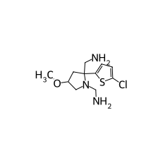 COC1CN(CN)C(CN)(c2ccc(Cl)s2)C1